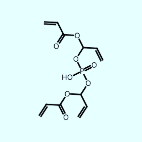 C=CC(=O)OC(C=C)OP(=O)(O)OC(C=C)OC(=O)C=C